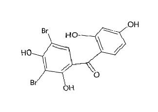 O=C(c1ccc(O)cc1O)c1cc(Br)c(O)c(Br)c1O